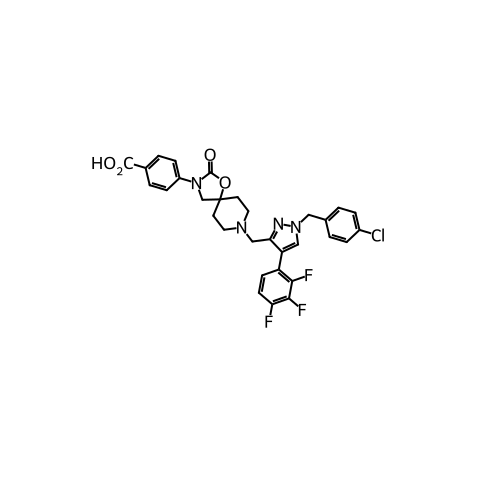 O=C(O)c1ccc(N2CC3(CCN(Cc4nn(Cc5ccc(Cl)cc5)cc4-c4ccc(F)c(F)c4F)CC3)OC2=O)cc1